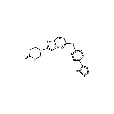 O=C1CCC(c2cn3cc(Oc4ccc(-c5ccn[nH]5)cc4)ccc3n2)CN1